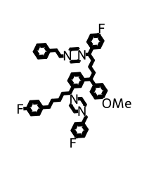 COc1ccc(C(CCCC(c2ccc(F)cc2)N2CCN(CCc3ccccc3)CC2)c2cccc(C(CCCCc3ccc(F)cc3)N3CCN(Cc4ccc(F)cc4)CC3)c2)cc1